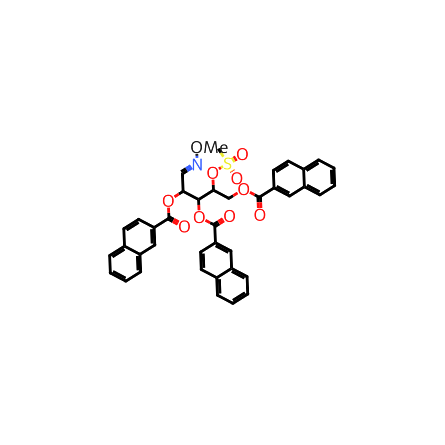 CON=CC(OC(=O)c1ccc2ccccc2c1)C(OC(=O)c1ccc2ccccc2c1)C(COC(=O)c1ccc2ccccc2c1)OS(C)(=O)=O